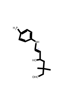 CC(C)(CC=O)CC(O)/C=C/Nc1ccc(P)cc1